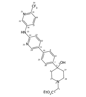 CCOC(=O)CN1CCC(O)(c2ccc(-c3ccc(Nc4ccc(C(F)(F)F)nc4)nc3)cc2)CC1